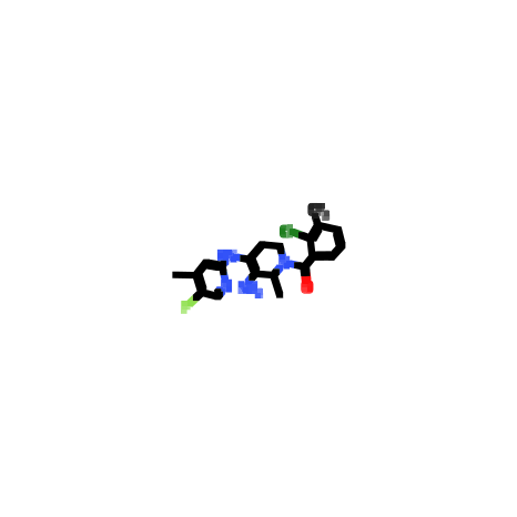 Cc1cc(NC2=C(N)C(C)N(C(=O)c3cccc(C(F)(F)F)c3Cl)CC2)ncc1F